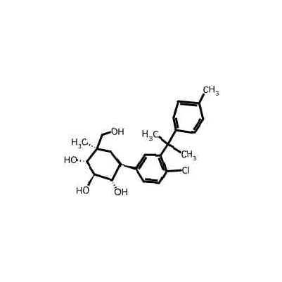 Cc1ccc(C(C)(C)c2cc([C@@H]3C[C@](C)(CO)[C@@H](O)[C@H](O)[C@H]3O)ccc2Cl)cc1